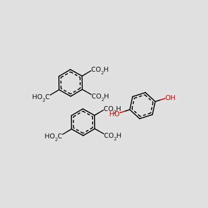 O=C(O)c1ccc(C(=O)O)c(C(=O)O)c1.O=C(O)c1ccc(C(=O)O)c(C(=O)O)c1.Oc1ccc(O)cc1